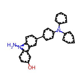 Nn1c2ccc(O)cc2c2cc(-c3ccc(N(c4ccccc4)c4ccccc4)cc3)ccc21